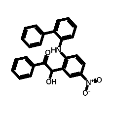 O=C(c1ccccc1)C(O)c1cc([N+](=O)[O-])ccc1Nc1ccccc1-c1ccccc1